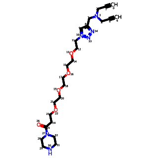 C#CCN(CC#C)Cc1cn(CCOCCOCCOCCOCCC(=O)N2CCNCC2)nn1